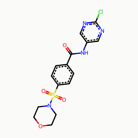 O=C(Nc1cnc(Cl)nc1)c1ccc(S(=O)(=O)N2CCOCC2)cc1